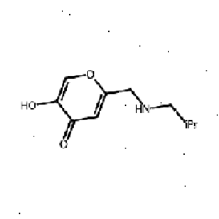 CC(C)CNCc1cc(=O)c(O)co1